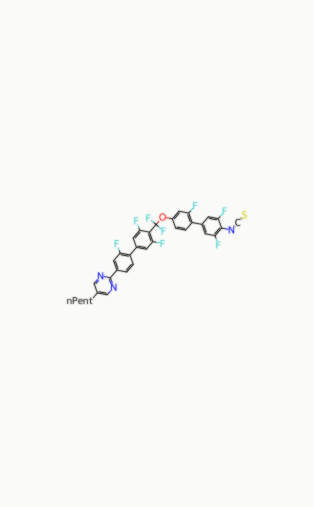 CCCCCc1cnc(-c2ccc(-c3cc(F)c(C(F)(F)Oc4ccc(-c5cc(F)c(N=C=S)c(F)c5)c(F)c4)c(F)c3)c(F)c2)nc1